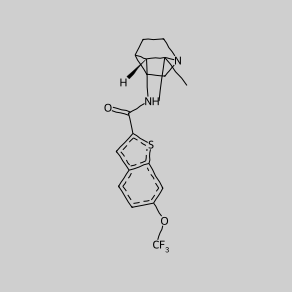 CC1(C)[C@H](NC(=O)c2cc3ccc(OC(F)(F)F)cc3s2)C2CCN1CC2